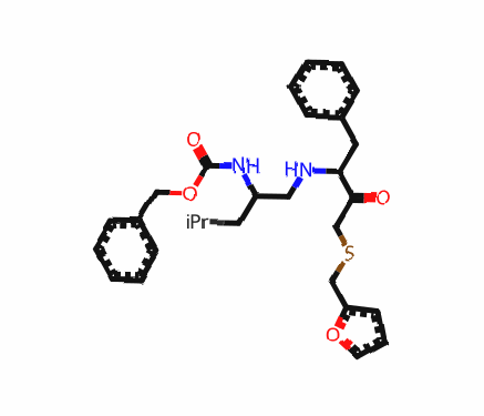 CC(C)CC(CNC(Cc1ccccc1)C(=O)CSCc1ccco1)NC(=O)OCc1ccccc1